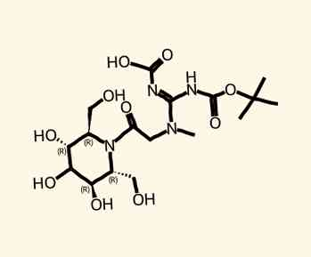 CN(CC(=O)N1[C@H](CO)[C@@H](O)C(O)[C@H](O)[C@H]1CO)C(=NC(=O)O)NC(=O)OC(C)(C)C